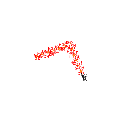 O=P(O)(O)O.O=P(O)(O)O.O=P(O)(O)O.O=P(O)(O)O.O=P(O)(O)O.O=P(O)(O)O.O=P(O)(O)O.O=P(O)(O)O.O=P(O)(O)O.O=P(O)(O)O.O=P([O-])(O)O.O=P([O-])([O-])[O-].[Na+].[Na+].[Na+].[Na+]